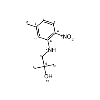 Cc1ccc([N+](=O)[O-])c(NCC(C)(C)O)c1